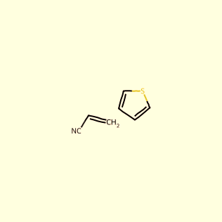 C=CC#N.c1ccsc1